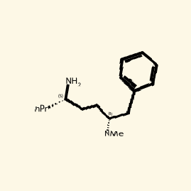 CCC[C@H](N)CC[C@H](Cc1ccccc1)NC